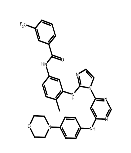 Cc1ccc(NC(=O)c2cccc(C(F)(F)F)c2)cc1Nc1nccn1-c1cc(Nc2ccc(N3CCOCC3)cc2)ncn1